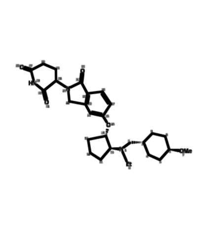 CCN(C[C@H]1CC[C@H](OC)CC1)[C@H]1CCC[C@@H]1Oc1ccc2c(c1)CN(C1CCC(=O)NC1=O)C2=O